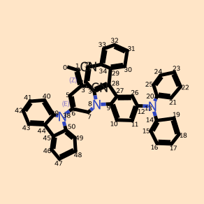 C/C(C#N)=C(C#N)\C=C(/Cn1c2ccc(N(c3ccccc3)c3ccccc3)cc2c2c3ccccc3ccc21)n1c2ccccc2c2ccccc21